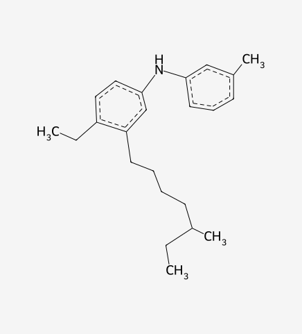 CCc1ccc(Nc2cccc(C)c2)cc1CCCCC(C)CC